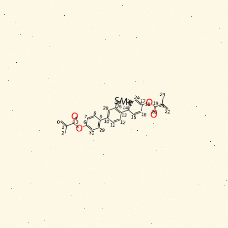 C=C(C)C(=O)Oc1ccc(-c2ccc(-c3ccc(OC(=O)C(=C)C)cc3)c(SC)c2)cc1